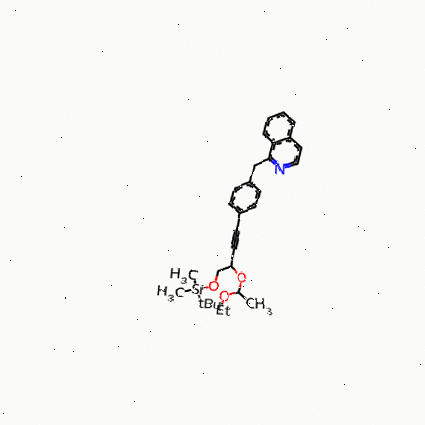 CCOC(C)OC(C#Cc1ccc(Cc2nccc3ccccc23)cc1)CO[Si](C)(C)C(C)(C)C